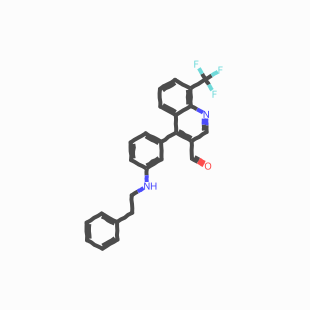 O=Cc1cnc2c(C(F)(F)F)cccc2c1-c1cccc(NCCc2ccccc2)c1